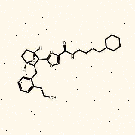 O=C(NCCCCC1CCCCC1)c1coc([C@H]2[C@@H](Cc3ccccc3CCO)[C@@H]3CC[C@H]2O3)n1